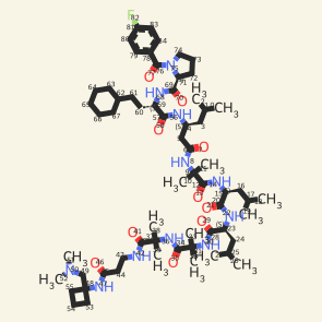 CC(C)C[C@@H](CC(=O)NC(C)(C)C(=O)N[C@@H](CC(C)C)C(=O)N[C@@H](CC(C)C)C(=O)NC(C)(C)C(=O)NC(C)(C)C(=O)NCCC(=O)NC1(CN(C)C)CCC1)NC(=O)[C@H](CCC1CCCCC1)NC(=O)[C@@H]1CCCN1C(=O)c1ccc(F)cc1